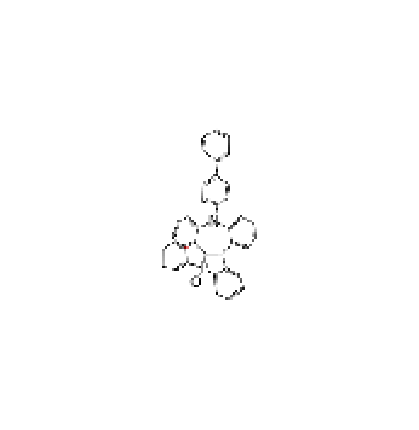 O=P1(C2=CCCC=C2)C2=C(c3ccccc3N(c3ccc(-c4ccccc4)cc3)c3ccccc32)c2ccccc21